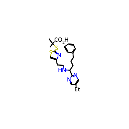 CCc1cnc(C(CCCc2ccccc2)NCCc2csc(SC(C)(C)C(=O)O)n2)nc1